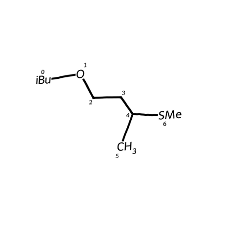 CCC(C)OCCC(C)SC